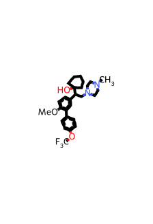 COc1ccc(C(CN2CCN(C)CC2)C2(O)CCCCC2)cc1-c1ccc(OC(F)(F)F)cc1